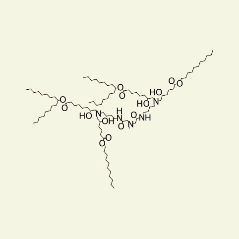 CCCCCCCCCCCOC(=O)CCCC(O)CN(CCCCNC(=O)CN(C)CC(=O)NCCCCN(CC(O)CCCCCC(=O)OC(CCCCCCCC)CCCCCCCC)CC(O)CCCC(=O)OCCCCCCCCCCC)CC(O)CCCCCC(=O)OC(CCCCCCCC)CCCCCCCC